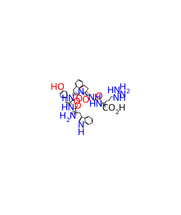 N=C(N)NCCC[C@H](NC(=O)CNC(=O)[C@@H]1CCCN1C(=O)[C@H](Cc1ccccc1)NC(=O)[C@H](Cc1ccc(O)cc1)NC(=O)[C@@H](N)Cc1c[nH]c2ccccc12)C(=O)O